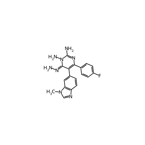 Cn1cnc2ccc(-c3c(-c4ccc(F)cc4)nc(N)n(N)/c3=N\N)cc21